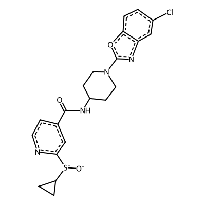 O=C(NC1CCN(c2nc3cc(Cl)ccc3o2)CC1)c1ccnc([S+]([O-])C2CC2)c1